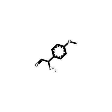 COc1ccc(C(N)C=O)cc1